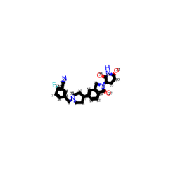 N#Cc1cc(CN2CCC(c3ccc4c(c3)CN(C3CCC(=O)NC3=O)C4=O)CC2)ccc1F